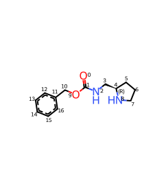 O=C(NC[C@H]1CCCN1)OCc1ccccc1